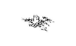 CC(C)C[C@H](NC(=O)[C@H](CCCCN)NC(=O)[C@@H](N)CCCNC(=N)N)C(=O)N[C@@H](CCCNC(=N)N)C(=O)O